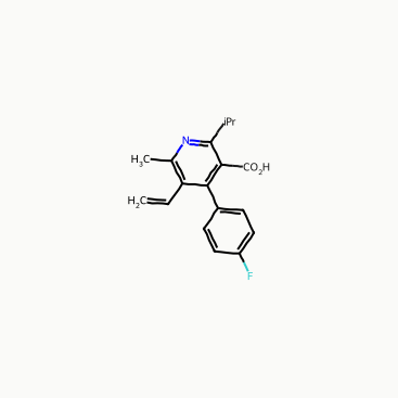 C=Cc1c(C)nc(C(C)C)c(C(=O)O)c1-c1ccc(F)cc1